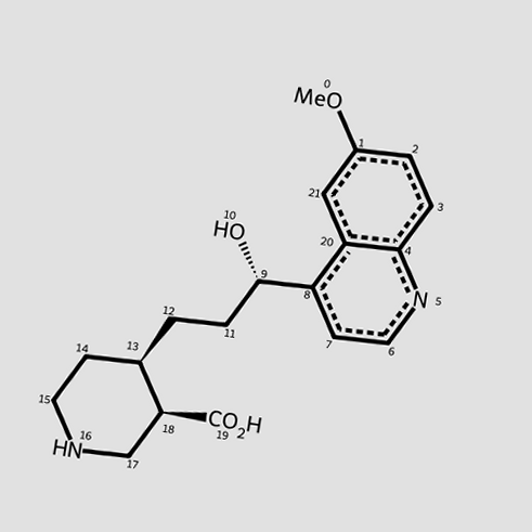 COc1ccc2nccc([C@@H](O)CC[C@@H]3CCNC[C@@H]3C(=O)O)c2c1